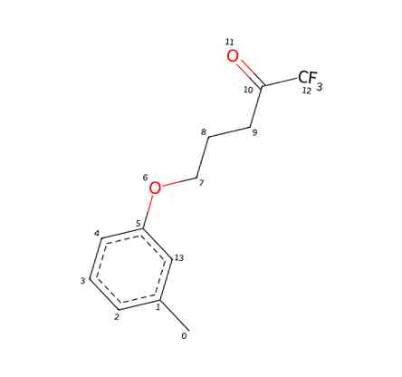 Cc1cccc(OCCCC(=O)C(F)(F)F)c1